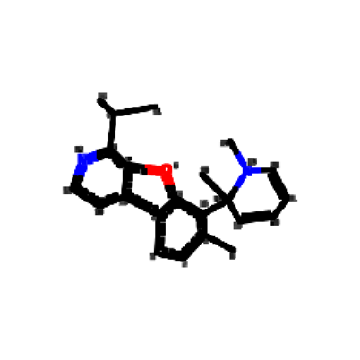 Cc1ccc2c(oc3c(C(C)C)nccc32)c1C1(C)C=CC=CN1C